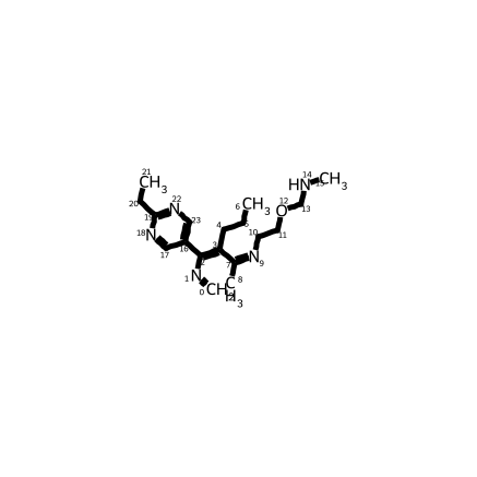 C=N/C(=C(CCC)\C(C)=N/CCOCNC)c1cnc(CC)nc1